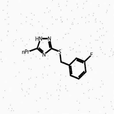 CCCc1nc(SCc2cccc(F)c2)n[nH]1